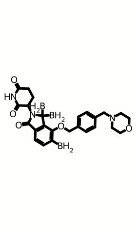 Bc1ccc2c(c1OCc1ccc(CN3CCOCC3)cc1)C(B)(B)N(C1CCC(=O)NC1=O)C2=O